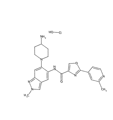 Cc1cc(-c2nc(C(=O)Nc3cc4cn(C)nc4cc3N3CCC(N)CC3)co2)ccn1.OCl